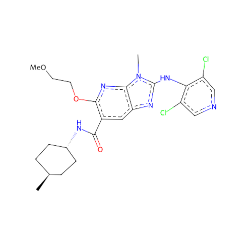 COCCOc1nc2c(cc1C(=O)N[C@H]1CC[C@H](C)CC1)nc(Nc1c(Cl)cncc1Cl)n2C